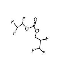 O=C(OCC(F)C(F)F)OC(F)C(F)F